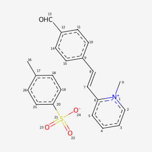 C[n+]1ccccc1C=Cc1ccc(C=O)cc1.Cc1ccc(S(=O)(=O)[O-])cc1